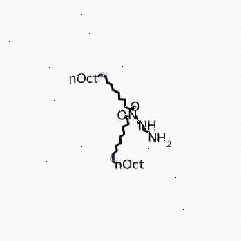 CCCCCCCC/C=C\CCCCCCCC(=O)N(CCNCCN)C(=O)CCCCCCC/C=C\CCCCCCCC